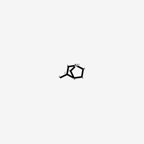 CC1CN2CCC1C2